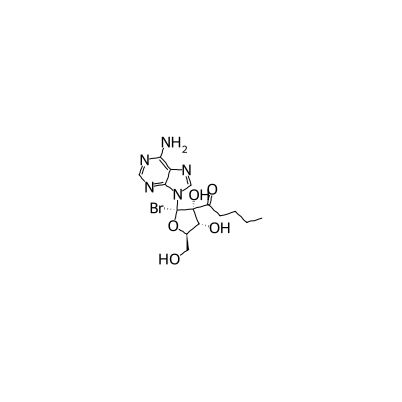 CCCCC(=O)[C@@]1(O)[C@H](O)[C@@H](CO)O[C@@]1(Br)n1cnc2c(N)ncnc21